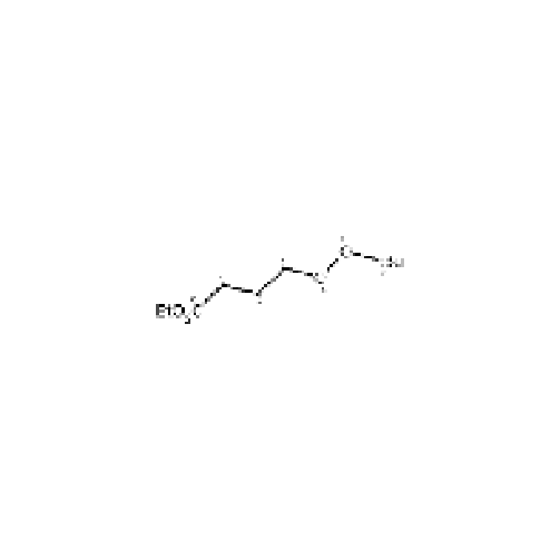 CCOC(=O)CCCOOC(C)(C)C